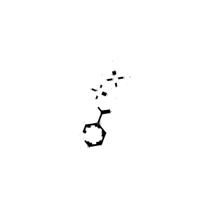 O=C(OP(=O)(O)OP(=O)(O)O)c1cccnc1